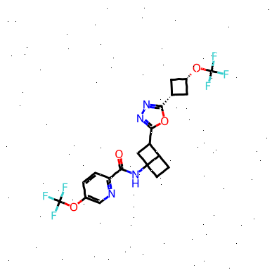 O=C(NC12CCC1C(c1nnc([C@H]3C[C@@H](OC(F)(F)F)C3)o1)C2)c1ccc(OC(F)(F)F)cn1